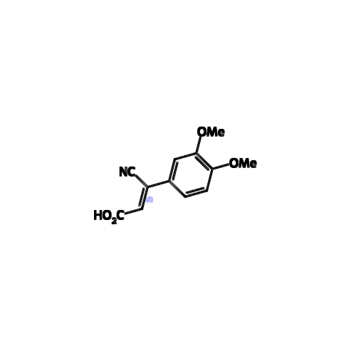 COc1ccc(/C(C#N)=C/C(=O)O)cc1OC